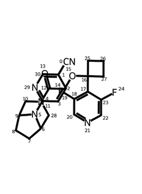 N#Cc1ccc(N2C3CCC2CN(C(=O)COC2(c4c(F)cncc4F)CCC2)C3)nc1